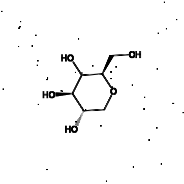 OC[C@H]1OC[C@H](O)[C@@H](O)[C]1O